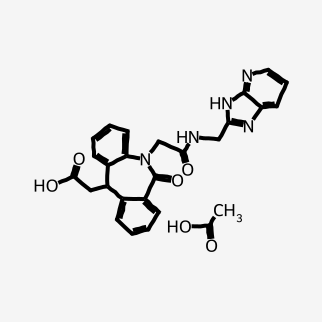 CC(=O)O.O=C(O)CC1c2ccccc2C(=O)N(CC(=O)NCc2nc3cccnc3[nH]2)c2ccccc21